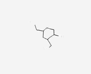 CC(=O)OCC1CCC(O)C(COC(C)=O)C1